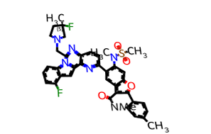 CNC(=O)c1c(-c2ccc(C)cc2)oc2cc(N(C)S(C)(=O)=O)c(-c3ccc4nc(CN5CC[C@](C)(F)C5)n5c6cccc(F)c6cc5c4n3)cc12